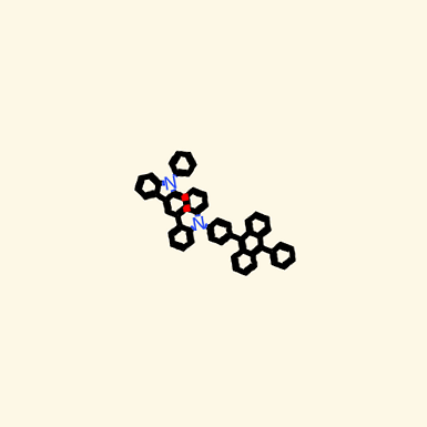 c1ccc(-c2c3ccccc3c(-c3ccc(N(c4ccccc4)c4ccccc4-c4ccc5c(c4)c4ccccc4n5-c4ccccc4)cc3)c3ccccc23)cc1